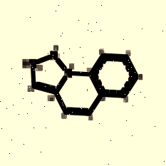 C1=Cc2ccccc2N2[N]NC=C12